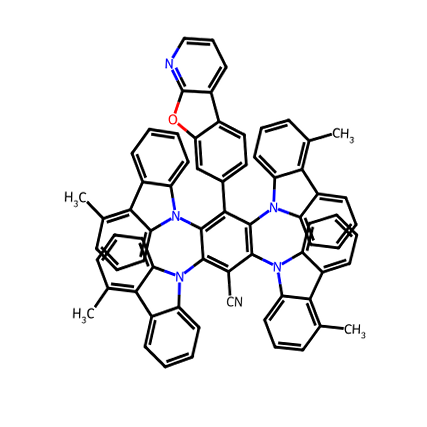 Cc1cccc2c1c1ccccc1n2-c1c(C#N)c(-n2c3ccccc3c3c(C)cccc32)c(-n2c3ccccc3c3c(C)cccc32)c(-c2ccc3c(c2)oc2ncccc23)c1-n1c2ccccc2c2c(C)cccc21